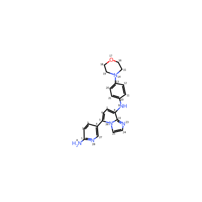 Nc1ccc(-c2ccc(Nc3ccc(N4CCOCC4)cc3)c3nccn23)cn1